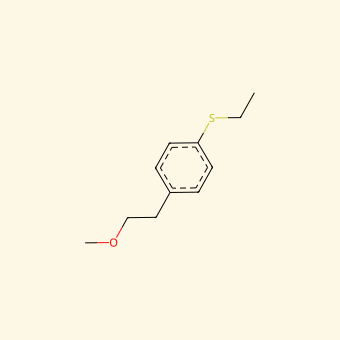 CCSc1ccc(CCOC)cc1